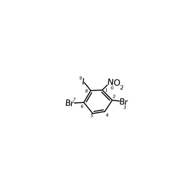 O=[N+]([O-])c1c(Br)ccc(Br)c1I